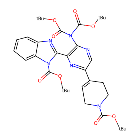 CC(C)(C)OC(=O)N1CC=C(c2cnc(N(C(=O)OC(C)(C)C)C(=O)OC(C)(C)C)c(-c3nc4ccccc4n3C(=O)OC(C)(C)C)n2)CC1